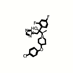 C[C@@H](N1CCC(Oc2ccc(Cl)cc2)CC1)[C@](O)(Cn1cncn1)c1ccc(F)cc1F